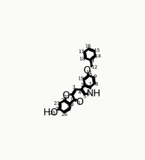 O=C1C(=Cc2c[nH]c3ccc(OCc4ccccc4)cc23)Oc2cc(O)ccc21